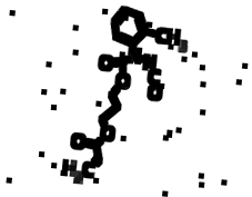 C=CC(=O)OCCCOC(=O)N(N=C=O)c1ccccc1C